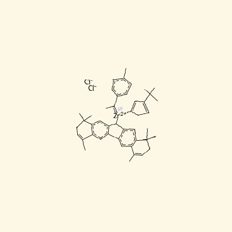 CC1=CCC(C)(C)c2cc3c(cc21)-c1cc2c(cc1[CH]3/[Zr+2]([C]1=CC(C(C)(C)C)=CC1)=[C](\C)c1ccc(C)cc1)C(C)(C)CC=C2C.[Cl-].[Cl-]